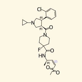 C[C@H](/C=C\S(C)(=O)=O)NC(=O)C1(F)CCN(C(=O)[C@H]2CN(C3CC3)C[C@H]2c2ccccc2Cl)CC1